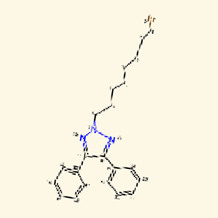 BrCCCCCCCCn1nc(-c2ccccc2)c(-c2ccccc2)n1